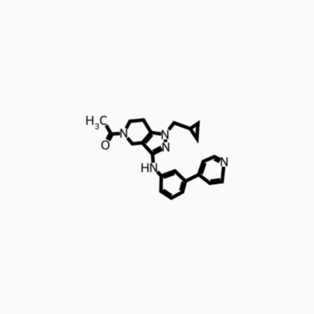 CC(=O)N1CCc2c(c(Nc3cccc(-c4ccncc4)c3)nn2CC2CC2)C1